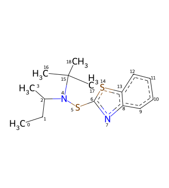 CCC(C)N(Sc1nc2ccccc2s1)C(C)(C)C